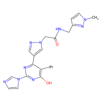 CC(C)c1c(O)nc(-n2ccnc2)nc1-c1cnn(CC(=O)NCc2ccn(C)n2)c1